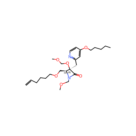 C=CCCCCOC[C@@H]1N(COC)C(=O)[C@]1(Cc1cc(OCCCCC)ccn1)OCOC